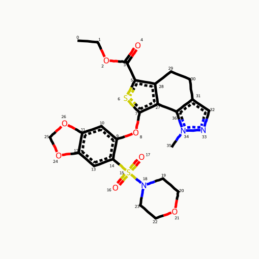 CCOC(=O)c1sc(Oc2cc3c(cc2S(=O)(=O)N2CCOCC2)OCO3)c2c1CCc1cnn(C)c1-2